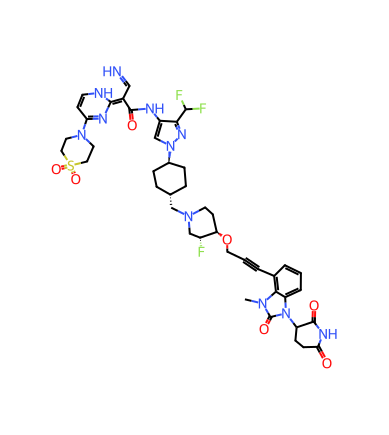 Cn1c(=O)n(C2CCC(=O)NC2=O)c2cccc(C#CCO[C@@H]3CCN(C[C@H]4CC[C@H](n5cc(NC(=O)/C(C=N)=C6\N=C(N7CCS(=O)(=O)CC7)C=CN6)c(C(F)F)n5)CC4)C[C@H]3F)c21